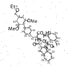 CCOCC1=CC(OC)=C(c2ccc(C[C@H](NC(=O)c3cc4ccccc4n3S(=O)(=O)c3c(I)cccc3I)C(=O)O)cc2)C(OC)C1